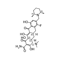 C[C@@H]1CCC[C@H](C)N1Cc1cc(O)c2c(c1F)C[C@H]1C[C@H]3[C@H](N(C)C)C(O)=C(C(N)=O)C(=O)[C@@]3(O)C(O)=C1C2=O